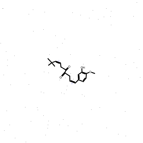 COc1ccc(/C=C\CC(=O)C(=O)C/C=C\C(C)(C)C)cc1O